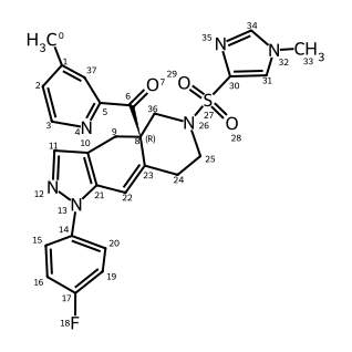 Cc1ccnc(C(=O)[C@]23Cc4cnn(-c5ccc(F)cc5)c4C=C2CCN(S(=O)(=O)c2cn(C)cn2)C3)c1